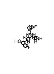 Oc1cc(-c2ncc3c(N4C[C@H]5C[C@@H]4CN5)nc(OC[C@@]45CCCN4C[C@H](F)C5)nc3c2F)c2c(F)c(F)ccc2c1